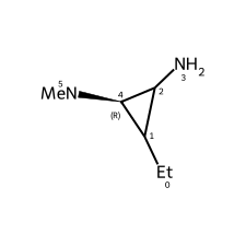 CCC1C(N)[C@@H]1NC